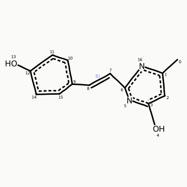 Cc1cc(O)nc(/C=C/c2ccc(O)cc2)n1